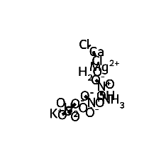 N.O.O.O=S(=O)([O-])[O-].O=[N+]([O-])O.O=[N+]([O-])[O-].[Cl][Ca][Cl].[K+].[Mg+2]